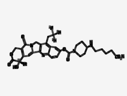 [2H]C([2H])([2H])Cc1c2c(nc3ccc(OC(=O)N4CCC(NCCCCC(=O)O)CC4)cc13)-c1cc3c(c(=O)n1C2)COC(=O)[C@]3(O)CC